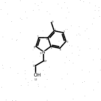 Cc1cccc2c1ccn2CCO